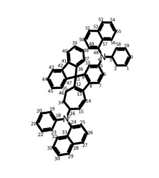 C1=CCC(N(c2ccc3c(c2)C2(C4=C3C=CC(N(c3ccccc3)c3cccc5ccccc35)CC4)c3ccccc3-c3ccccc32)c2cccc3ccccc23)C=C1